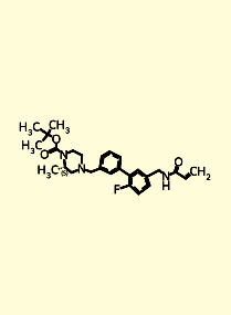 C=CC(=O)NCc1ccc(F)c(-c2cccc(CN3CCN(C(=O)OC(C)(C)C)[C@@H](C)C3)c2)c1